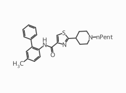 CCCCCN1CCC(c2nc(C(=O)Nc3ccc(C)cc3-c3ccccc3)cs2)CC1